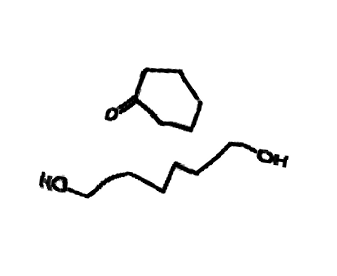 O=C1CCCCC1.OCCCCCCO